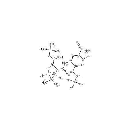 CC(C)(C)CC(O)N1C[C@H]2[C@@H]([C@H]1C(=O)N[C@@H](C[C@@H]1CCNC1=O)C(=O)COC(F)(F)F)C2(C)C